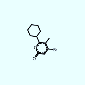 Cc1c(Br)cc(=O)oc1C1CCCCC1